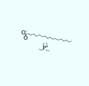 CCCCCCCCCCCCCCCCCC(=O)[O-].CC[P+](CC)(CC)CC